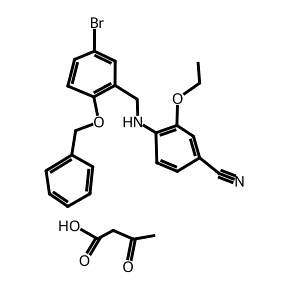 CC(=O)CC(=O)O.CCOc1cc(C#N)ccc1NCc1cc(Br)ccc1OCc1ccccc1